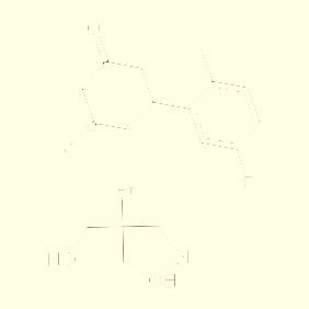 CCC(CO)(CO)CO.Cc1ccc(F)cc1C1CC(=O)CC(=O)C1